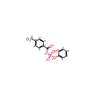 O=C(OP(=O)(O)Oc1ccccc1)c1ccc([N+](=O)[O-])cc1